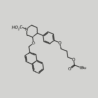 CC(C)(C)C(=O)OCCCOc1ccc(C2CCN(C(=O)O)CC2OCc2ccc3ccccc3c2)cc1